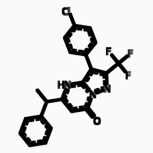 CC(c1ccccc1)c1cc(=O)n2nc(C(F)(F)F)c(-c3ccc(Cl)cc3)c2[nH]1